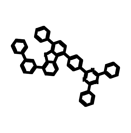 c1ccc(-c2cccc(-c3cccc4c3sc3c(-c5ccccc5)ccc(-c5ccc(-c6nc(-c7ccccc7)nc(-c7ccccc7)n6)cc5)c34)c2)cc1